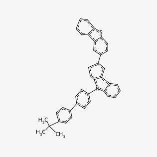 CC(C)(C)c1ccc(-c2ccc(-n3c4ccccc4c4cc(-c5ccc6sc7ccccc7c6c5)ccc43)cc2)cc1